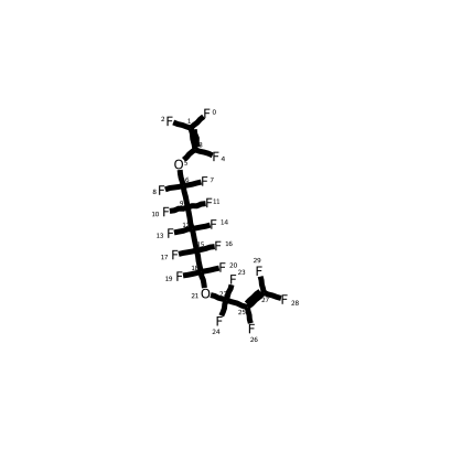 FC(F)=C(F)OC(F)(F)C(F)(F)C(F)(F)C(F)(F)C(F)(F)OC(F)(F)C(F)=C(F)F